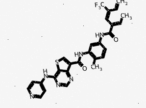 C=C/C(=C\C(=C/C)C(=O)Nc1ccc(C)c(NC(=O)c2csc3c(Nc4ccncc4)ncnc23)c1)C(F)(F)F